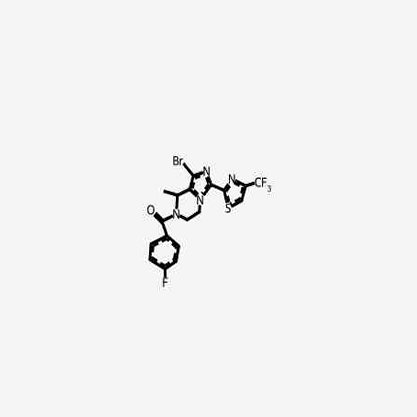 CC1c2c(Br)nc(-c3nc(C(F)(F)F)cs3)n2CCN1C(=O)c1ccc(F)cc1